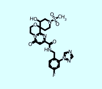 CS(=O)(=O)N1CCC2(OCCn3c2nc(C(=O)NCc2ccc(F)cc2-n2cncn2)cc3=O)C(O)C1